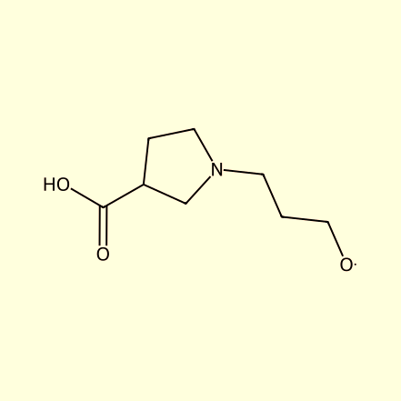 [O]CCCN1CCC(C(=O)O)C1